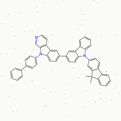 CC1(C)c2ccccc2-c2ccc(-n3c4ccccc4c4cc(-c5ccc6c(c5)c5ccncc5n6-c5ccc(-c6ccccc6)cc5)ccc43)cc21